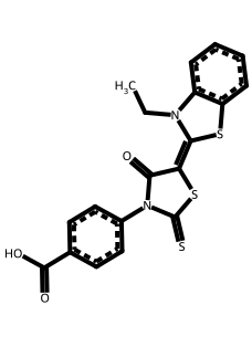 CCN1/C(=C2/SC(=S)N(c3ccc(C(=O)O)cc3)C2=O)Sc2ccccc21